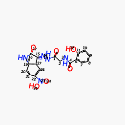 O=C(CNC(=O)c1ccccc1O)N/N=C1/C(=O)NC2C=CC([N+](=O)O)=CC12